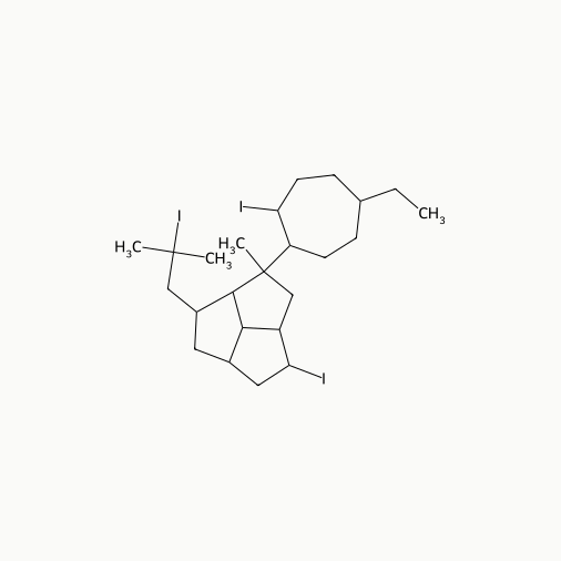 CCC1CCC(I)C(C2(C)CC3C(I)CC4CC(CC(C)(C)I)C2C43)CC1